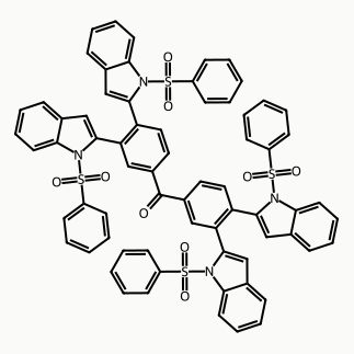 O=C(c1ccc(-c2cc3ccccc3n2S(=O)(=O)c2ccccc2)c(-c2cc3ccccc3n2S(=O)(=O)c2ccccc2)c1)c1ccc(-c2cc3ccccc3n2S(=O)(=O)c2ccccc2)c(-c2cc3ccccc3n2S(=O)(=O)c2ccccc2)c1